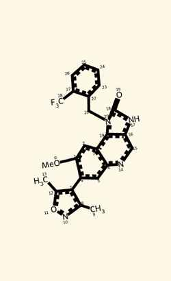 COc1cc2c(cc1-c1c(C)noc1C)ncc1[nH]c(=O)n(Cc3ccccc3C(F)(F)F)c12